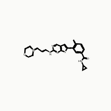 Cc1ccc(C(=O)NC2CC2)cc1-c1cc2cnc(NCCCN3CCOCC3)nc2s1